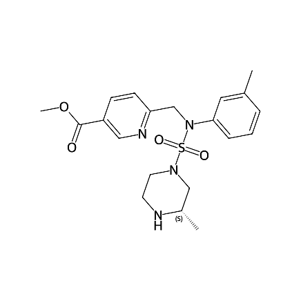 COC(=O)c1ccc(CN(c2cccc(C)c2)S(=O)(=O)N2CCN[C@@H](C)C2)nc1